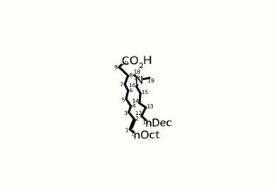 CCCCCCCCC=CCCCCCCCC(=O)O.CCCCCCCCCCCCCCCN(C)C